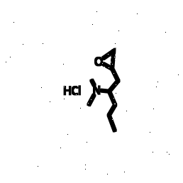 CCCC(CC1CO1)N(C)C.Cl